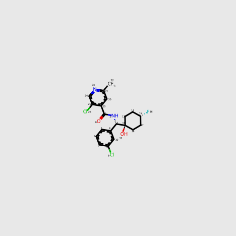 O=C(N[C@@H](c1cccc(Cl)c1)[C@]1(O)CC[C@H](F)CC1)c1cc(C(F)(F)F)ncc1Cl